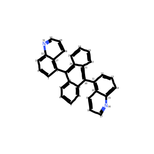 c1cc(-c2c3ccccc3c(-c3cccc4ncccc34)c3ccccc23)c2cccnc2c1